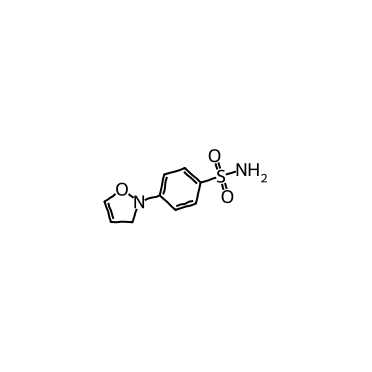 NS(=O)(=O)c1ccc(N2CC=CO2)cc1